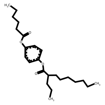 CCCCCCCC(CCC)C(=O)Oc1ccc(OC(=O)CCCCC)cc1